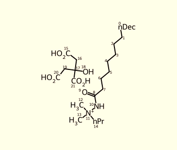 CCCCCCCCCCCCCCCCCC(=O)N[N+](C)(C)CCC.O=C(O)CC(O)(CC(=O)O)C(=O)O